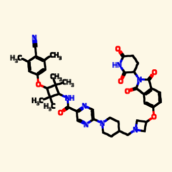 Cc1cc(OC2C(C)(C)C(NC(=O)c3cnc(N4CCC(CN5CC(Oc6ccc7c(c6)C(=O)N(C6CCC(=O)NC6=O)C7=O)C5)CC4)cn3)C2(C)C)cc(C)c1C#N